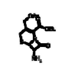 CC(=O)OCC1=C(C(=O)OCC(C)C)N2C(=O)[C@@H](N)C2SC1